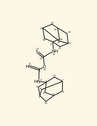 N=C(NC12CC3CC(CC(C3)C1)C2)OC(=S)NC12CC3CC(CC(C3)C1)C2